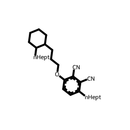 CCCCCCCc1ccc(OCCCC2CCCCC2CCCCCCC)c(C#N)c1C#N